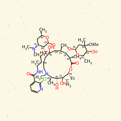 CC[C@H]1OC(=O)[C@H](C)[C@@H](O[C@H]2C[C@@](C)(OC)[C@@H](O)[C@H](C)O2)[C@H](C)[C@@H](O[C@@H]2O[C@H](C)C[C@H](N(C)C)[C@H]2OCCCNC(=O)c2cccnc2Cl)[C@](C)(O)C[C@@H](C)CN(C)[C@H](C)[C@@H](O)[C@]1(C)O